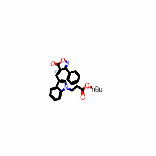 CCCCOC(=O)CCn1cc(/C=C2/C(=O)ON=C2c2ccccc2)c2ccccc21